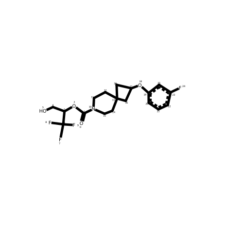 O=C(OC(CO)C(F)(F)F)N1CCC2(CC1)CC(Oc1cccc(F)c1)C2